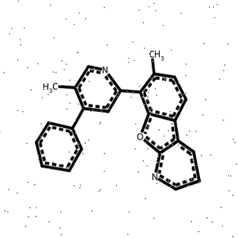 Cc1cnc(-c2c(C)ccc3c2oc2ncccc23)cc1-c1ccccc1